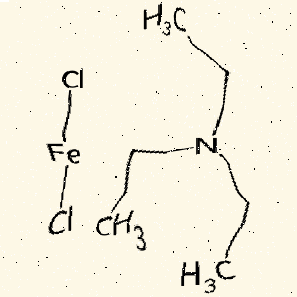 CCN(CC)CC.[Cl][Fe][Cl]